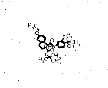 CCOc1ccc2c(c1)CCN(C(=O)OC(C)(C)C)C2C(=O)Nc1ccc(C(C)(C)C)c(F)c1